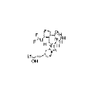 [2H]C([2H])([2H])N1C(=O)c2cccc(OC(F)F)c2[C@H]2C[C@@H]1c1nc3ccc(C#CC(O)CC)cc3n12